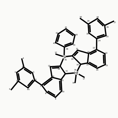 Cc1cc(C)cc(-c2cccc3c2C=C2[CH]3[Hf]([CH3])([CH3])[CH]3C(=Cc4c(-c5cc(C)cc(C)c5)cccc43)[Si]2(C)c2ccccc2)c1